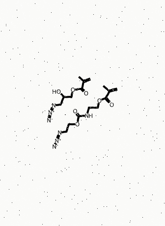 C=C(C)C(=O)OCC(O)CN=[N+]=[N-].C=C(C)C(=O)OCCNC(=O)OCCN=[N+]=[N-]